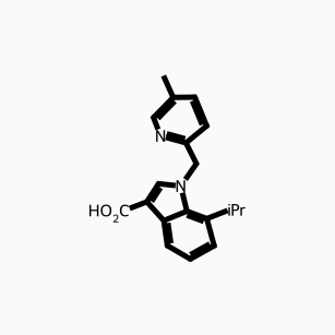 Cc1ccc(Cn2cc(C(=O)O)c3cccc(C(C)C)c32)nc1